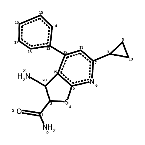 NC(=O)C1Sc2nc(C3CC3)cc(-c3ccccc3)c2C1N